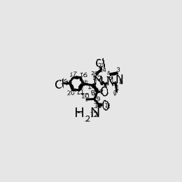 Cc1nccn1C1OC(C(C)C(N)=O)=C(c2ccc(Cl)cc2)N1CCCl